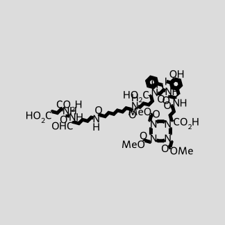 COC(=O)CN1CCN(CC(=O)OC)CCN([C@H](CCC(=O)N[C@H](Cc2ccc(O)c(I)c2)C(=O)N[C@H](Cc2ccccc2)C(=O)N[C@H](CCCCNC(=O)CCCCCCC(=O)NCCCC[C@@H](C=O)NC(=O)N[C@@H](CCC(=O)O)C(=O)O)C(=O)O)C(=O)O)CCN(CC(=O)OC)CC1